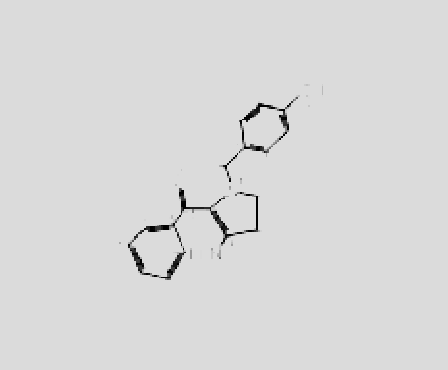 Cc1ccc(CN2CCC(N)=C2C(=O)c2ccccc2)cc1